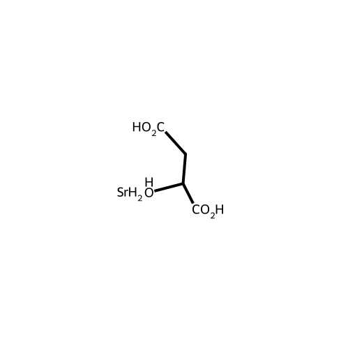 O=C(O)CC(O)C(=O)O.[SrH2]